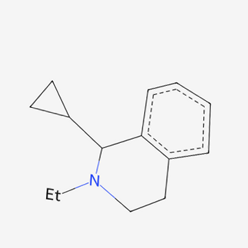 CCN1CCc2ccccc2C1C1CC1